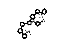 C[C@@]1(c2cccc(-c3ccc4c5cc(-c6cccc(-c7cccc(-c8ccccc8N)c7)c6)ccc5n(-c5cccc(C#N)c5)c4c3)c2S)C=CC=CC1